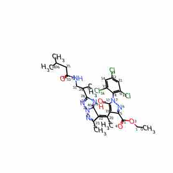 CCOC(=O)c1nn(-c2c(Cl)cc(Cl)cc2Cl)c(O)c1/C(C)=c1/c(C)nn2nc(C(C)CNC(=O)CC(C)C)nc12